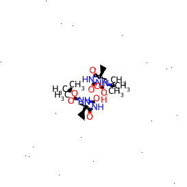 CC(C)(C)N(C[C@@]1(C2CC2)NC(=O)NC1=O)C(=O)O.CC(C)(C)OC(=O)NC[C@@]1(C2CC2)NC(=O)NC1=O